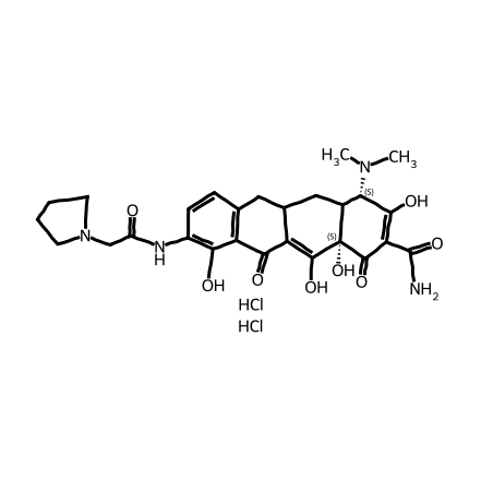 CN(C)[C@@H]1C(O)=C(C(N)=O)C(=O)[C@@]2(O)C(O)=C3C(=O)c4c(ccc(NC(=O)CN5CCCC5)c4O)CC3CC12.Cl.Cl